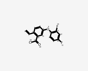 C=Cc1ccc(Oc2ccc(F)cc2F)cc1C(=O)Cl